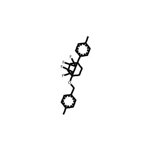 Cc1ccc(COC23CCC(c4ccc(C)cc4)(CC2)C(F)(F)C3(F)F)cc1